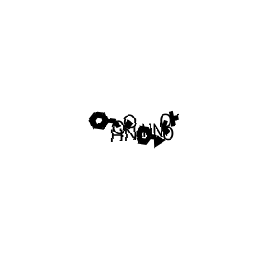 CC(C)(C)OC(=O)NC1(c2ccc(NC(=O)OCc3ccccc3)cc2)CC1